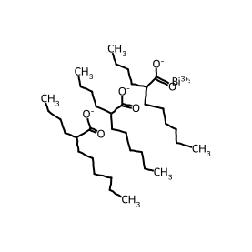 CCCCCCC(CCCC)C(=O)[O-].CCCCCCC(CCCC)C(=O)[O-].CCCCCCC(CCCC)C(=O)[O-].[Bi+3]